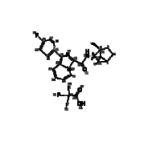 CC1(C)C2CC[C@@]1(C)[C@@H](NC(=O)c1nc(-c3ccc(F)cc3)c3ccccn13)C2.O=C(O)C(F)(F)F